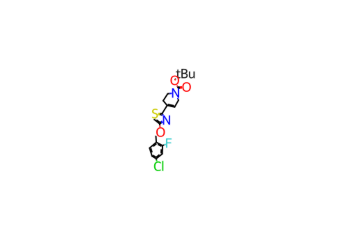 CC(C)(C)OC(=O)N1CC=C(c2nc(OCc3ccc(Cl)cc3F)cs2)CC1